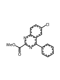 COC(=O)c1nc(-c2ccccc2)c2cc(Cl)ccc2n1